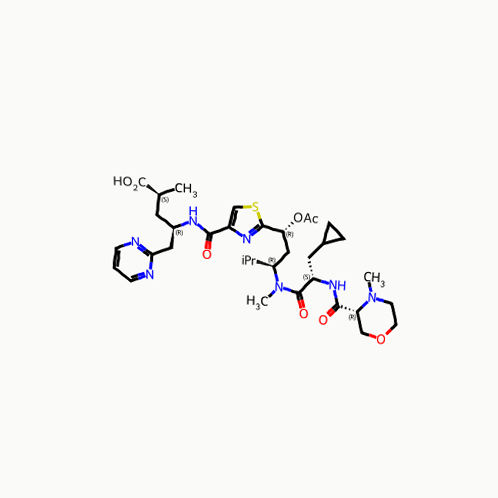 CC(=O)O[C@H](C[C@H](C(C)C)N(C)C(=O)[C@H](CC1CC1)NC(=O)[C@H]1COCCN1C)c1nc(C(=O)N[C@@H](Cc2ncccn2)C[C@H](C)C(=O)O)cs1